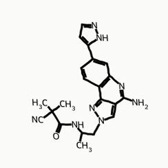 CC(Cn1cc2c(N)nc3cc(-c4ccn[nH]4)ccc3c2n1)NC(=O)C(C)(C)C#N